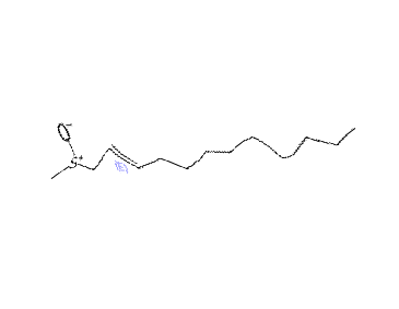 CCCCCCCCC/C=C/C[S+](C)[O-]